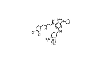 Cl.Cl.Cl.NC1CCC(Nc2nc(NCCNCc3ccc(Cl)c(Cl)c3)c3ncn(C4CCCC4)c3n2)CC1